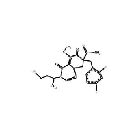 COC1=C2C(=O)N(C(C)CCO)C=CN2CC(Cc2ccc(F)cc2F)(C(N)=O)C1=O